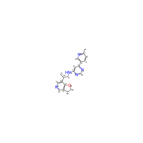 Cc1ccc(-c2cc(NCC(C)c3cncc4c3OCC4)ncn2)cn1